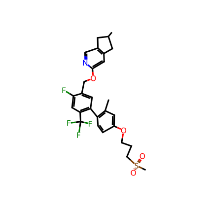 Cc1cc(OCCCS(C)(=O)=O)ccc1-c1cc(COc2cc3c(cn2)CC(C)C3)c(F)cc1C(F)(F)F